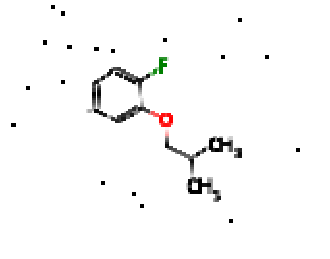 CC(C)COc1c[c]ccc1F